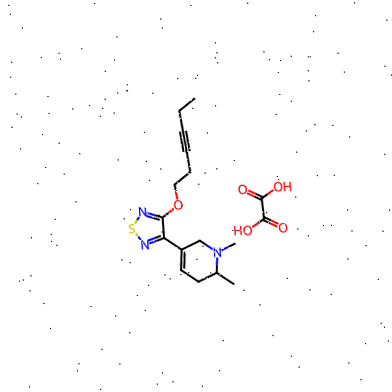 CCC#CCCOc1nsnc1C1=CCC(C)N(C)C1.O=C(O)C(=O)O